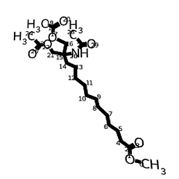 COC(=O)CCCCCCCCCCCC(COC(C)=O)(COC(C)=O)NC(C)=O